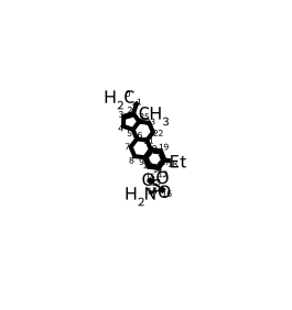 C=CC1=CCC2C3CCc4cc(OS(N)(=O)=O)c(CC)cc4C3CC[C@]12C